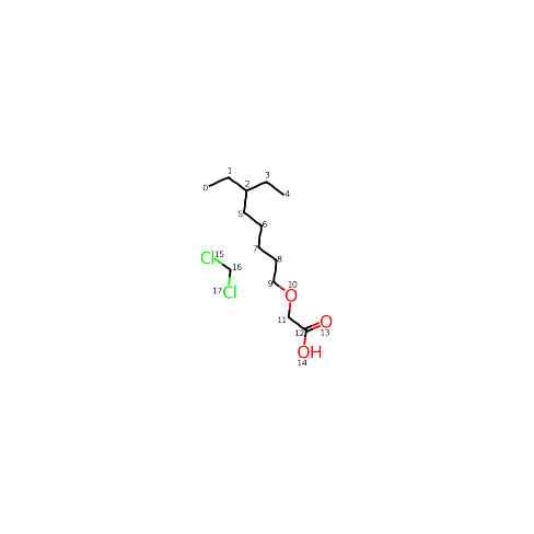 CCC(CC)CCCCCOCC(=O)O.ClCCl